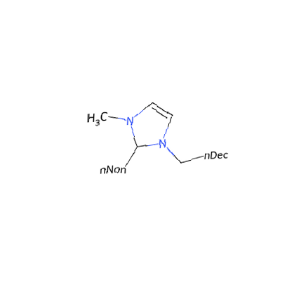 CCCCCCCCCCCN1C=CN(C)C1CCCCCCCCC